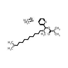 CBr.CBr.CN(C)CCCCCCCCCCN(C)C(OC(=O)N(C)C)c1ccccn1